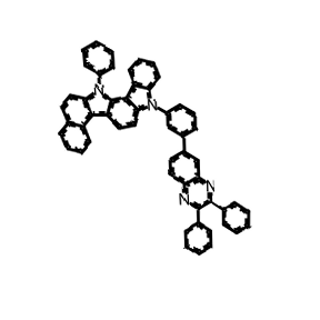 c1ccc(-c2nc3ccc(-c4cccc(-n5c6ccccc6c6c5ccc5c7c8ccccc8ccc7n(-c7ccccc7)c56)c4)cc3nc2-c2ccccc2)cc1